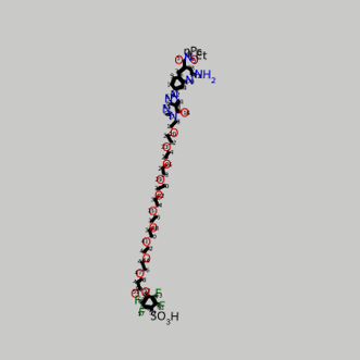 CCCN(OCC)C(=O)C1=Cc2ccc(-n3cc4c(=O)n(CCOCCOCCOCCOCCOCCOCCOCCOCCOCCOCCC(=O)Oc5c(F)c(F)c(S(=O)(=O)O)c(F)c5F)cnc4n3)cc2N=C(N)C1